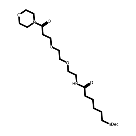 CCCCCCCCCCCCCCCC(=O)NCCOCCOCCC(=O)N1CCOCC1